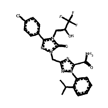 CC(C)c1ccccc1-n1nc(Cn2nc(-c3ccc(Cl)cc3)n(CC(O)C(F)(F)F)c2=O)nc1C(N)=O